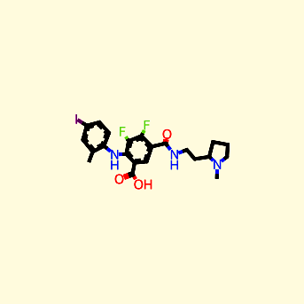 Cc1cc(I)ccc1Nc1c(C(=O)O)cc(C(=O)NCCC2CCCN2C)c(F)c1F